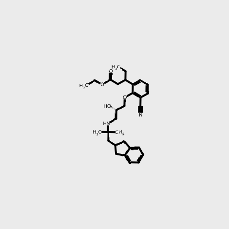 CCOC(=O)CC(CC)c1cccc(C#N)c1OC[C@@H](O)CNC(C)(C)CC1Cc2ccccc2C1